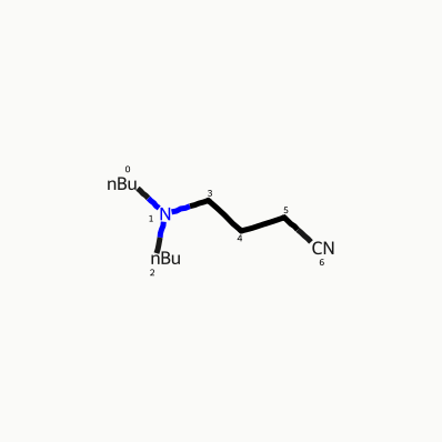 CCCCN(CCCC)CCCC#N